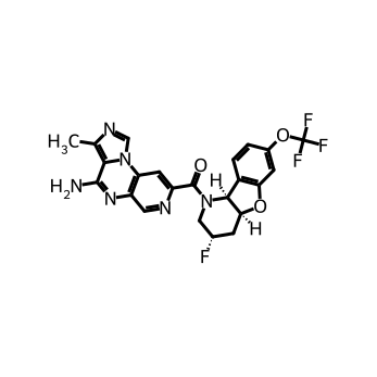 Cc1ncn2c1c(N)nc1cnc(C(=O)N3C[C@@H](F)C[C@@H]4Oc5cc(OC(F)(F)F)ccc5[C@@H]43)cc12